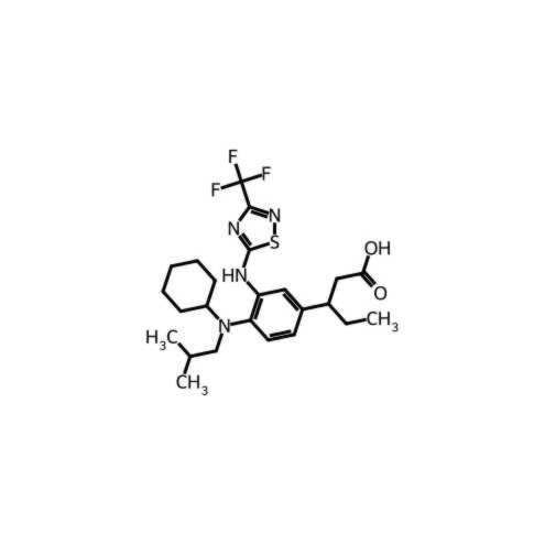 CCC(CC(=O)O)c1ccc(N(CC(C)C)C2CCCCC2)c(Nc2nc(C(F)(F)F)ns2)c1